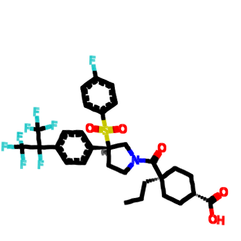 CCC[C@]1(C(=O)N2CC[C@](c3ccc(C(F)(C(F)(F)F)C(F)(F)F)cc3)(S(=O)(=O)c3ccc(F)cc3)C2)CC[C@H](C(=O)O)CC1